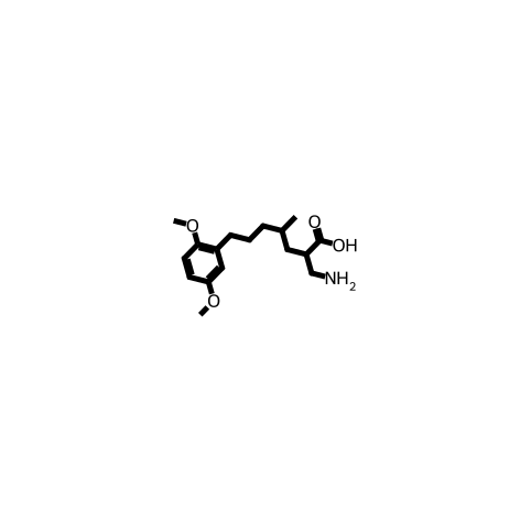 COc1ccc(OC)c(CCCC(C)CC(CN)C(=O)O)c1